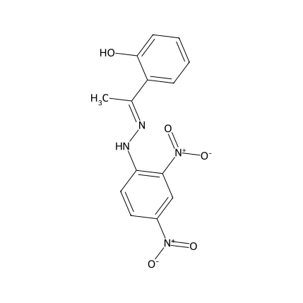 C/C(=N\Nc1ccc([N+](=O)[O-])cc1[N+](=O)[O-])c1ccccc1O